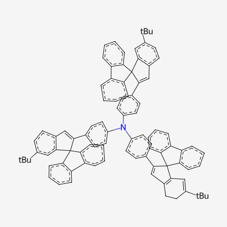 CC(C)(C)C1=CC2=C(C=C(c3ccc(N(c4ccc(C5=Cc6ccc(C(C)(C)C)cc6C56c5ccccc5-c5ccccc56)cc4)c4ccc(C5=Cc6ccc(C(C)(C)C)cc6C56c5ccccc5-c5ccccc56)cc4)cc3)C23c2ccccc2-c2ccccc23)CC1